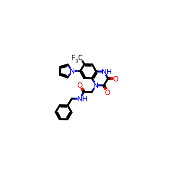 O=C(Cn1c(=O)c(=O)[nH]c2cc(C(F)(F)F)c(-n3cccc3)cc21)NCc1ccccc1